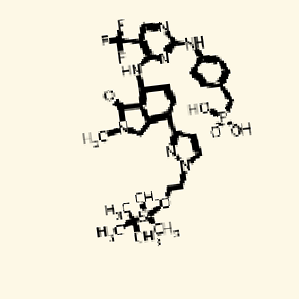 CN1Cc2c(-c3ccn(CCO[Si](C)(C)C(C)(C)C)n3)ccc(Nc3nc(Nc4ccc(CP(=O)(O)O)cc4)ncc3C(F)(F)F)c2C1=O